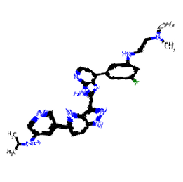 CC(C)Nc1cncc(-c2ccc3[nH]nc(-c4nc5c(-c6cc(F)cc(NCCN(C)C)c6)ccnc5[nH]4)c3n2)c1